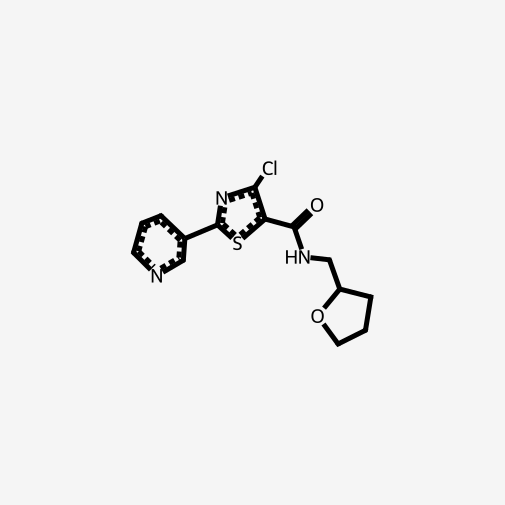 O=C(NCC1CCCO1)c1sc(-c2cccnc2)nc1Cl